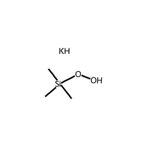 C[Si](C)(C)OO.[KH]